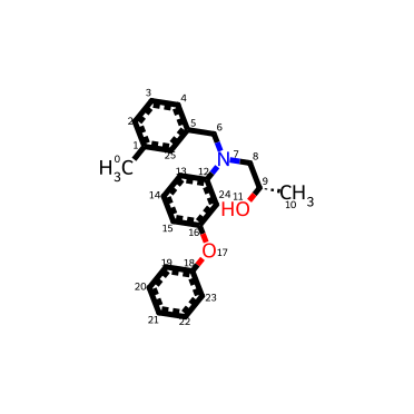 Cc1cccc(CN(C[C@H](C)O)c2cccc(Oc3ccccc3)c2)c1